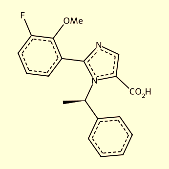 COc1c(F)cccc1-c1ncc(C(=O)O)n1[C@H](C)c1ccccc1